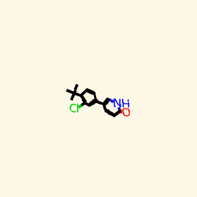 CC(C)(C)c1ccc(-c2ccc(=O)[nH]c2)cc1Cl